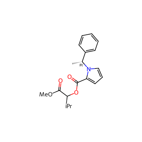 COC(=O)C(OC(=O)c1cccn1[C@H](C)c1ccccc1)C(C)C